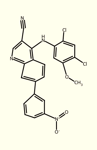 COc1cc(Nc2c(C#N)cnc3cc(-c4cccc([N+](=O)[O-])c4)ccc23)c(Cl)cc1Cl